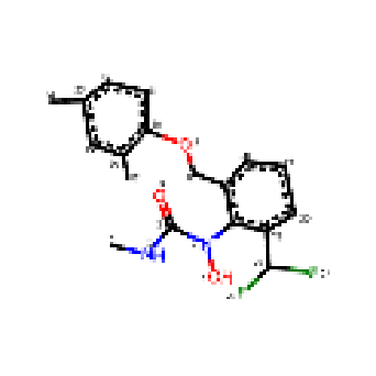 CNC(=O)N(O)c1c(COc2ccc(C)cc2C)cccc1C(F)F